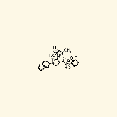 C[C@@H]1CN(c2nc(-c3ccc4ccccc4c3)ccc2C(=O)NS(=O)(=O)c2ccc[nH]c2=O)C(C)(C)C1